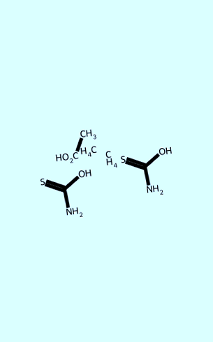 C.C.CC(=O)O.NC(O)=S.NC(O)=S